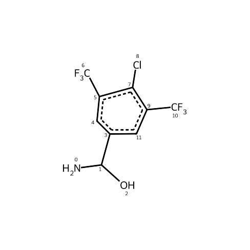 NC(O)c1cc(C(F)(F)F)c(Cl)c(C(F)(F)F)c1